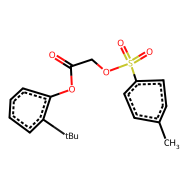 Cc1ccc(S(=O)(=O)OCC(=O)Oc2ccccc2C(C)(C)C)cc1